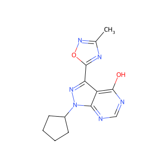 Cc1noc(-c2nn(C3CCCC3)c3ncnc(O)c23)n1